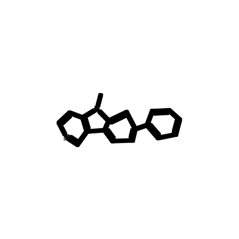 Cn1c2ccncc2c2ccc(-c3ccccc3)cc21